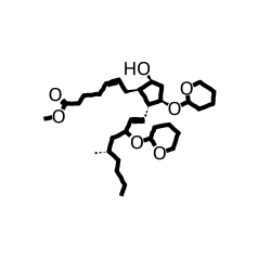 CCCC[C@H](C)CC(/C=C/[C@@H]1[C@@H](C/C=C\CCCC(=O)OC)[C@@H](O)C[C@H]1OC1CCCCO1)OC1CCCCO1